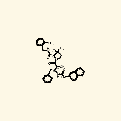 Cc1ccccc1CNC(=O)[C@H]1N(C(=O)[C@@H](O)[C@H](Cc2ccccc2)NC(=O)Nc2ccc3ccccc3c2)CSC1(C)C